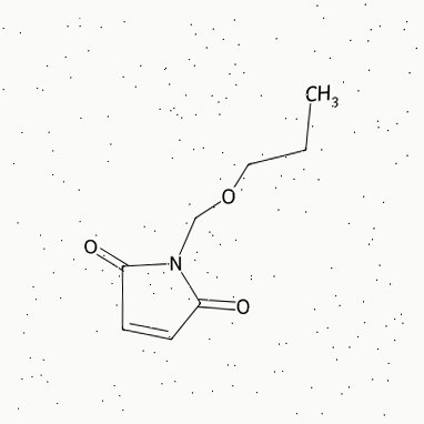 CCCOCN1C(=O)C=CC1=O